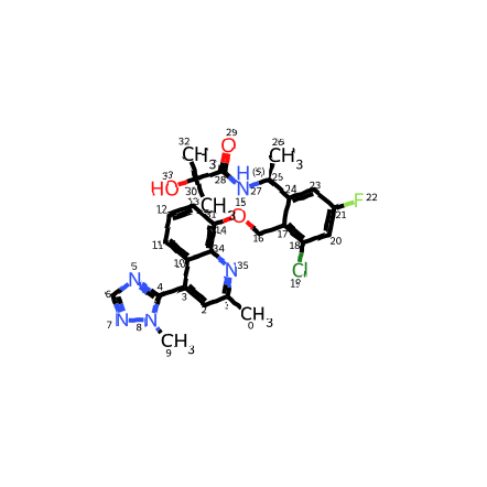 Cc1cc(-c2ncnn2C)c2cccc(OCc3c(Cl)cc(F)cc3[C@H](C)NC(=O)C(C)(C)O)c2n1